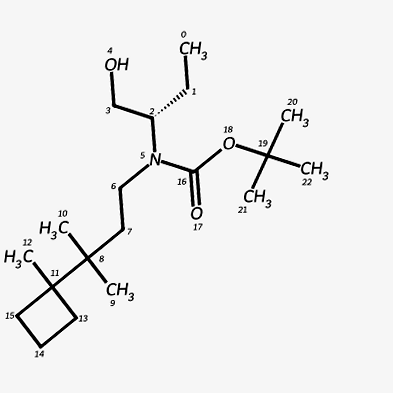 CC[C@@H](CO)N(CCC(C)(C)C1(C)CCC1)C(=O)OC(C)(C)C